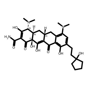 CN(C)c1cc(CCC2(O)CCCC2)c(O)c2c1C[C@H]1C[C@@H]3[C@@H](N(C)C)C(O)=C(C(N)=O)C(=O)[C@@]3(O)C(O)=C1C2=O